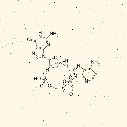 Nc1nc2c(ncn2C2O[C@H]3C[C@@H]2OP(=O)(O)OCC24COC(C(n5cnc6c(N)ncnc65)O2)C4OCO3)c(=O)[nH]1